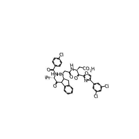 CC(C)[C@H](NC(=O)c1ccc(Cl)cc1)C(=O)C1c2ccccc2CC1NCC(=O)N[C@@H](CC(=O)O)C(=O)c1nc(-c2cc(Cl)cc(Cl)c2)co1